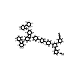 N#Cc1cccc(-c2cc(-c3ccc(-c4ccc(-c5ccc(-n6c7ccc(-n8c9ccccc9c9ccccc98)cc7c7cc(-n8c9ccccc9c9ccccc98)ccc76)cc5)cc4)cc3)nc(-c3cccc(C#N)c3)n2)c1